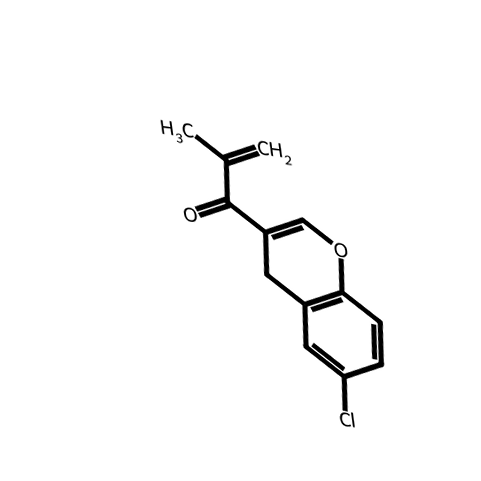 C=C(C)C(=O)C1=COc2ccc(Cl)cc2C1